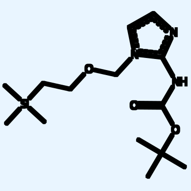 CC(C)(C)OC(=O)Nc1nccn1COCC[Si](C)(C)C